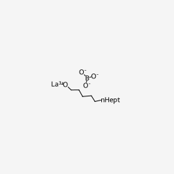 CCCCCCCCCCCC[O][La+3].[O-]B([O-])[O-]